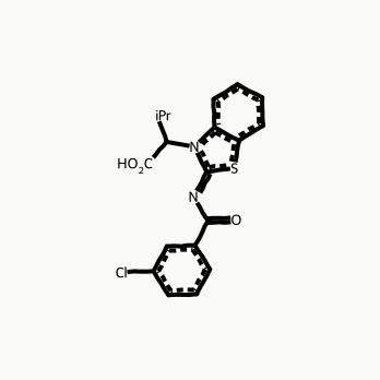 CC(C)C(C(=O)O)n1c(=NC(=O)c2cccc(Cl)c2)sc2ccccc21